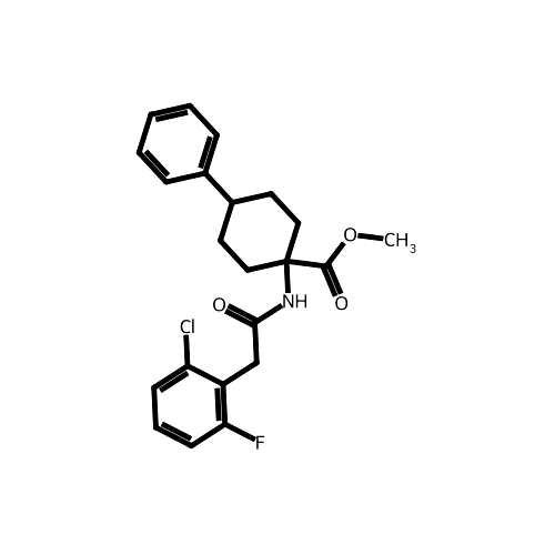 COC(=O)C1(NC(=O)Cc2c(F)cccc2Cl)CCC(c2ccccc2)CC1